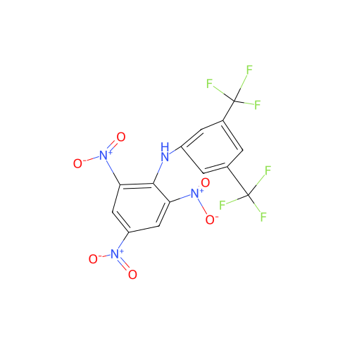 O=[N+]([O-])c1cc([N+](=O)[O-])c(Nc2cc(C(F)(F)F)cc(C(F)(F)F)c2)c([N+](=O)[O-])c1